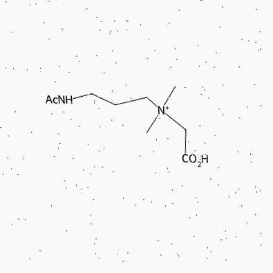 CC(=O)NCCC[N+](C)(C)CC(=O)O